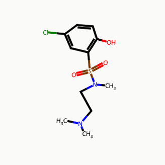 CN(C)CCN(C)S(=O)(=O)c1cc(Cl)ccc1O